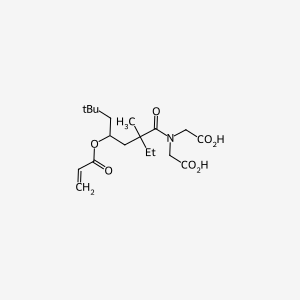 C=CC(=O)OC(CC(C)(C)C)CC(C)(CC)C(=O)N(CC(=O)O)CC(=O)O